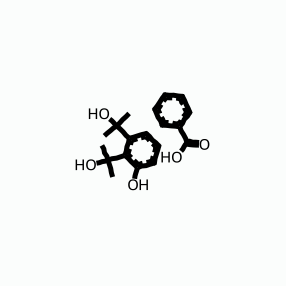 CC(C)(O)c1cccc(O)c1C(C)(C)O.O=C(O)c1ccccc1